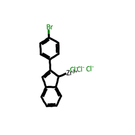 Brc1ccc(C2=Cc3ccccc3[CH]2[Zr+3])cc1.[Cl-].[Cl-].[Cl-]